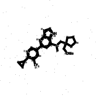 COCC1(CN(C)c2cc(-c3cnc(C4CC4)c(C(F)(F)F)c3)nc3nc[nH]c23)CCCC1